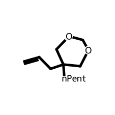 C=CCC1(CCCCC)COCOC1